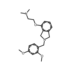 COc1ccc(CN2Cc3cccc(OCCN(C)C)c3C2)c(OC)c1